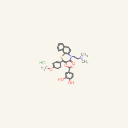 COC1=CC=C(C2=C(OC(=O)c3ccc(O)c(O)c3)C(=O)N(CCN(C)C)c3ccc4ccccc4c3S2)CC1.Cl